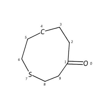 O=C1CCCCCSCC1